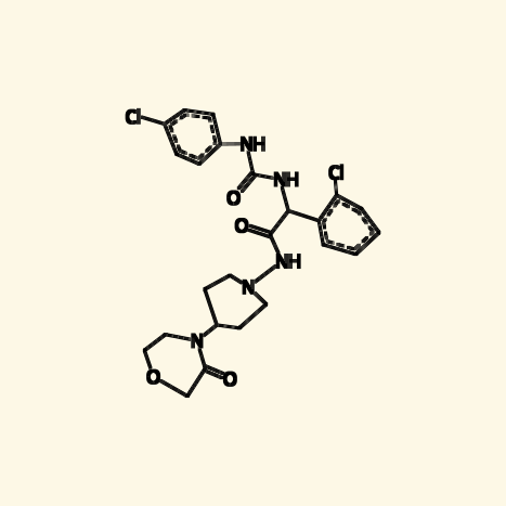 O=C(Nc1ccc(Cl)cc1)NC(C(=O)NN1CCC(N2CCOCC2=O)CC1)c1ccccc1Cl